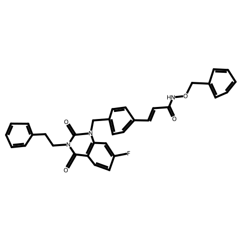 O=C(/C=C/c1ccc(Cn2c(=O)n(CCc3ccccc3)c(=O)c3ccc(F)cc32)cc1)NOCc1ccccc1